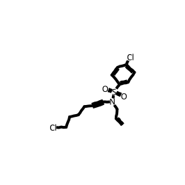 C=CCN(C#CCCCCCl)S(=O)(=O)c1ccc(Cl)cc1